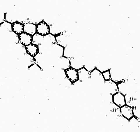 CN(C)c1ccc2c(-c3cc(C(=O)NCCOc4ccccc4COCC4CN(C(=O)N5CC[C@@H]6OCC(=O)N[C@@H]6C5)C4)ccc3C(=O)[O-])c3ccc(=[N+](C)C)cc-3oc2c1